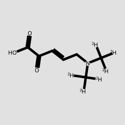 [2H]C([2H])([2H])N(CC=CC(=O)C(=O)O)C([2H])([2H])[2H]